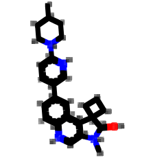 CC1CCN(c2ccc(-c3ccc4ncc5c(c4c3)C3(CCC3)C(=O)N5C)cn2)CC1